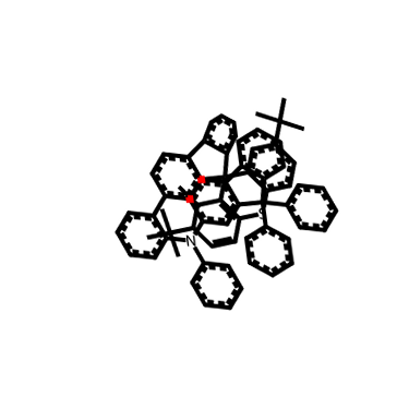 CC1C2=C(C=CC1C(C)(C)C)Sc1ccc(C(C)(C)C)cc1C21c2ccccc2-c2ccc(-c3ccccc3N(c3ccccc3)c3ccc4c(c3)C(c3ccccc3)(c3ccccc3)c3ccccc3-4)cc21